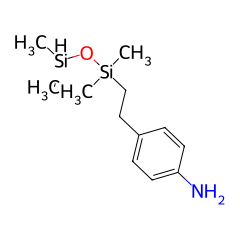 C[SiH](C)O[Si](C)(C)CCc1ccc(N)cc1